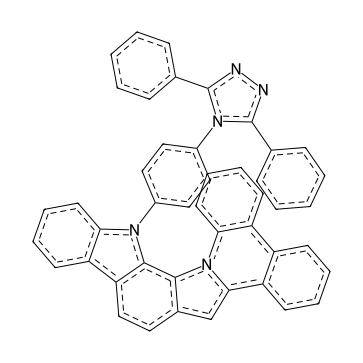 c1ccc(-c2nnc(-c3ccccc3)n2-c2ccc(-n3c4ccccc4c4ccc5cc6c7ccccc7c7ccccc7n6c5c43)cc2)cc1